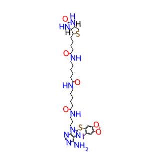 Nc1ncnc2c1nc(Sc1cc3c(cc1I)OCO3)n2CCCNC(=O)CCCCCNC(=O)CCCCCNC(=O)CCCCC1SC[C@@H]2NC(=O)N[C@H]12